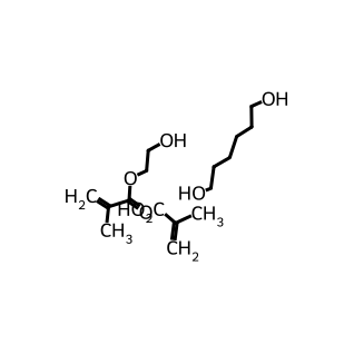 C=C(C)C(=O)O.C=C(C)C(=O)OCCO.OCCCCCCO